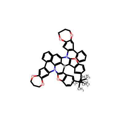 CC(C)(C)c1ccc2oc3c(c2c1)B1c2c(cccc2N(c2cc4c(cc2-c2ccccc2)OCCCO4)c2oc4ccc(C(C)(C)C)cc4c21)N3c1cc2c(cc1-c1ccccc1)OCCCO2